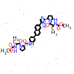 COC(=O)N[C@@H](C)C(=O)N1CCC[C@H]1C(=O)Nc1ccc(-c2ccc3cc(-c4cnc([C@@H]5CCCN5C(=O)[C@H](C)NC(=O)OC)[nH]4)ccc3c2)cc1